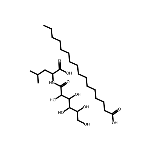 CC(C)CC(NC(=O)C(O)C(O)C(O)C(O)CO)C(=O)O.CCCCCCCCCCCCCCCC(=O)O